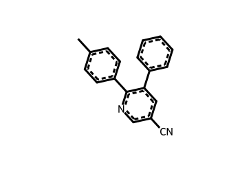 Cc1ccc(-c2ncc(C#N)cc2-c2ccccc2)cc1